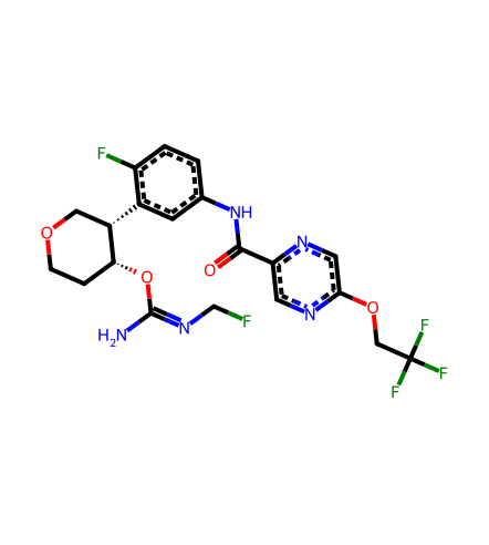 N/C(=N/CF)O[C@@H]1CCOC[C@@H]1c1cc(NC(=O)c2cnc(OCC(F)(F)F)cn2)ccc1F